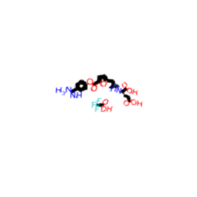 C/C(=C\N[C@@H](CCC(=O)O)C(=O)O)Cc1ccc(C(=O)Oc2ccc(C(=N)N)cc2)o1.O=C(O)C(F)(F)F